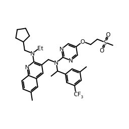 CCN(CC1CCCC1)c1nc2ccc(C)cc2cc1CN(c1ncc(OCCS(C)(=O)=O)cn1)C(C)c1cc(C)cc(C(F)(F)F)c1